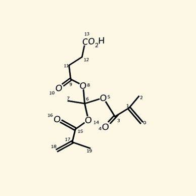 C=C(C)C(=O)OC(C)(OC(=O)CCC(=O)O)OC(=O)C(=C)C